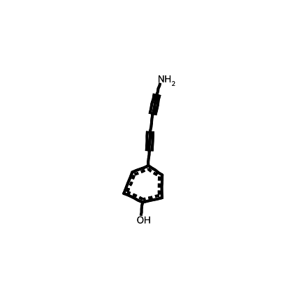 NC#CC#Cc1ccc(O)cc1